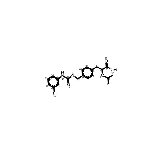 CC(C)OC(Cc1ccc(COC(=O)Nc2cccc(Cl)c2)cc1)C(=O)O